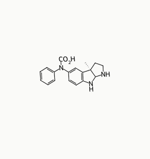 C[C@]12CCNC1Nc1ccc(N(C(=O)O)c3ccccc3)cc12